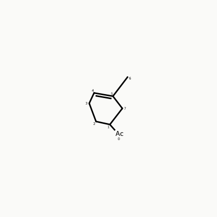 CC(=O)C1CCC=C(C)C1